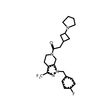 O=C(CC1CC(N2CCCC2)C1)N1CCc2c(C(F)(F)F)nn(Cc3ccc(F)cc3)c2C1